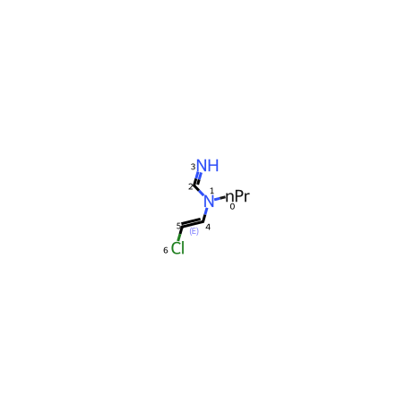 CCCN(C=N)/C=C/Cl